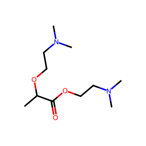 CC(OCCN(C)C)C(=O)OCCN(C)C